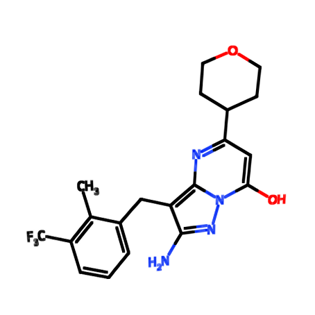 Cc1c(Cc2c(N)nn3c(O)cc(C4CCOCC4)nc23)cccc1C(F)(F)F